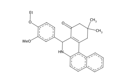 CCOc1ccc(C2Nc3ccc4ccccc4c3C3=C2C(=O)CC(C)(C)C3)cc1OC